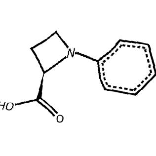 O=C(O)[C@H]1CCN1c1ccccc1